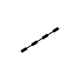 [C]#CC#CC#CC#[C]